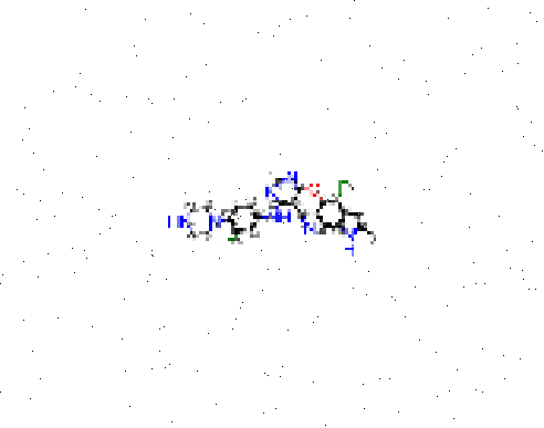 Cc1cc2c(F)c(Oc3ncnc(Nc4ccc(N5CCNCC5)c(F)c4)c3C#N)ccc2[nH]1